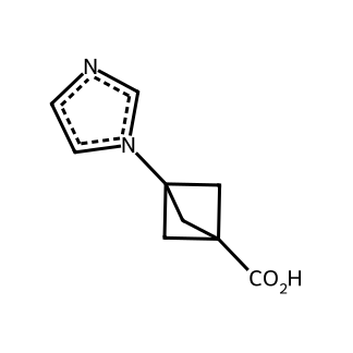 O=C(O)C12CC(n3ccnc3)(C1)C2